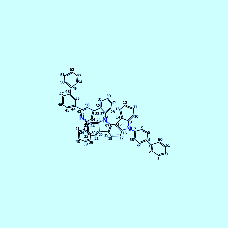 c1ccc(-c2ccc(-n3c4ccccc4c4c3ccc3c5ccccc5n(-c5ccccc5-c5cc(-c6ccccc6)nc(-c6cccc(-c7ccccc7)c6)c5)c34)cc2)cc1